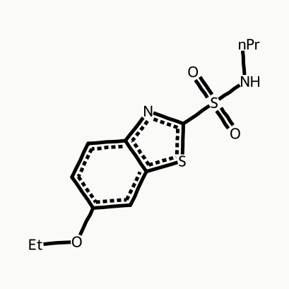 CCCNS(=O)(=O)c1nc2ccc(OCC)cc2s1